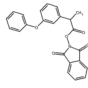 CC(C(=O)ON1C(=O)c2ccccc2C1=O)c1cccc(Oc2ccccc2)c1